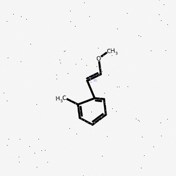 CO/C=C/c1ccccc1C